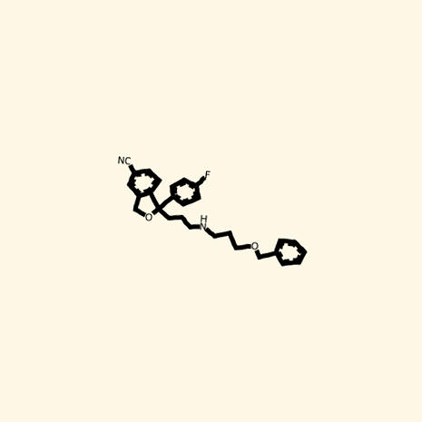 N#Cc1ccc2c(c1)COC2(CCCNCCCOCc1ccccc1)c1ccc(F)cc1